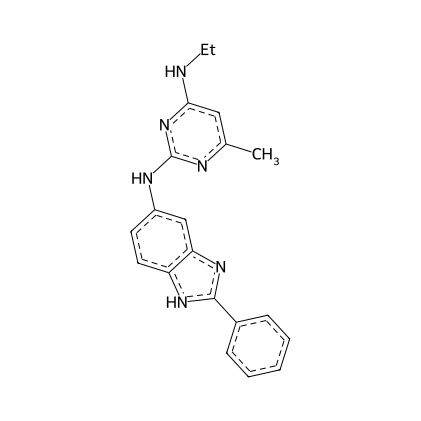 CCNc1cc(C)nc(Nc2ccc3[nH]c(-c4ccccc4)nc3c2)n1